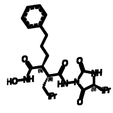 CC(C)C[C@@H](C(=O)NN1C(=O)N[C@@H](C(C)C)C1=O)[C@H](CCCc1ccccc1)C(=O)NO